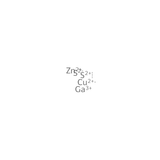 [Cu+2].[Ga+3].[S+2].[S-2].[Zn+2]